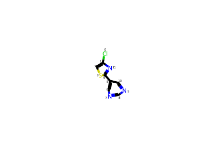 Clc1[c]sc(-c2cncnc2)n1